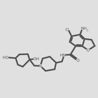 Nc1c(Cl)cc(C(=O)NCC2CCN(CC3(O)CCC(O)CC3)CC2)c2c1CCO2